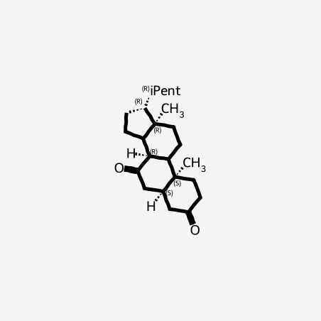 CCC[C@@H](C)[C@H]1CCC2[C@@H]3C(=O)C[C@@H]4CC(=O)CC[C@]4(C)C3CC[C@@]21C